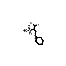 O=C(O)C(CNC1CCCCC1)S(=O)(=O)O